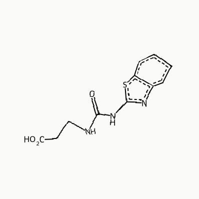 O=C(O)CCNC(=O)Nc1nc2ccccc2s1